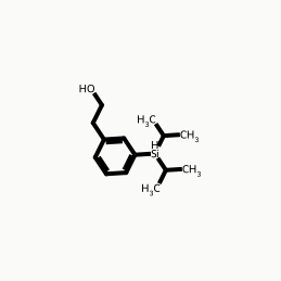 CC(C)[SiH](c1cccc(CCO)c1)C(C)C